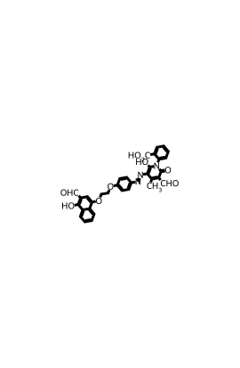 Cc1c(/N=N/c2ccc(OCCOc3cc(C=O)c(O)c4ccccc34)cc2)c(O)n(-c2ccccc2C(=O)O)c(=O)c1C=O